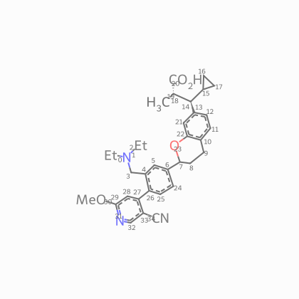 CCN(CC)Cc1cc(C2CCc3ccc([C@H](C4CC4)[C@H](C)C(=O)O)cc3O2)ccc1-c1cc(OC)ncc1C#N